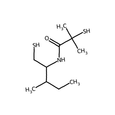 CCC(C)C(CS)NC(=O)C(C)(C)S